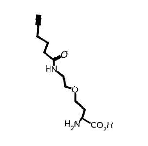 C#CCCCC(=O)NCCOCCC(N)C(=O)O